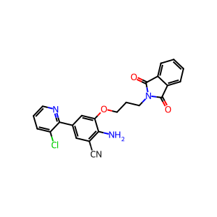 N#Cc1cc(-c2ncccc2Cl)cc(OCCCN2C(=O)c3ccccc3C2=O)c1N